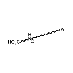 CC(C)CCCCCCCCCCCCCCC(=O)NCCCCCC(=O)O